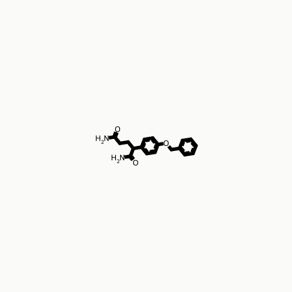 NC(=O)CCC(C(N)=O)c1ccc(OCc2ccccc2)cc1